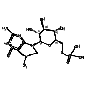 CN1CN([C@@H]2O[C@H](COP(=O)(O)O)[C@@H](O)[C@H](O)[C@H]2O)c2nc(N)[nH]c(=O)c21